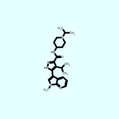 CC(C)c1c(C(=O)NC2CCN(C(C)C)CC2)n[nH]c1-c1cn(C)c2ncccc12